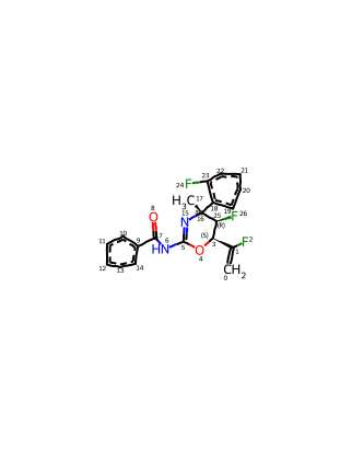 C=C(F)[C@H]1OC(NC(=O)c2ccccc2)=N[C@](C)(c2ccccc2F)[C@H]1F